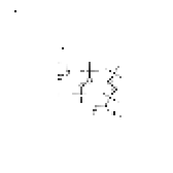 C=CC([SiH3])C(C)(C)OOC(C)(C)C.CC(C)(C)OOC(C)(C)C.CC(C)(C)OOC(C)(C)C